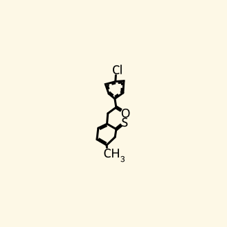 CC1=CC=C(CC(=O)c2ccc(Cl)cc2)C(=S)C1